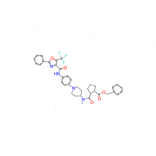 CN(C(=O)C1CCCC1C(=O)OCc1ccccc1)C1CCN(c2ccc(NC(=O)c3nc(-c4ccccc4)oc3C(F)(F)F)cc2)CC1